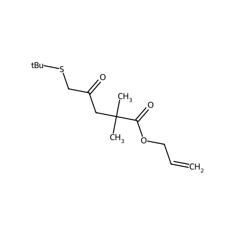 C=CCOC(=O)C(C)(C)CC(=O)CSC(C)(C)C